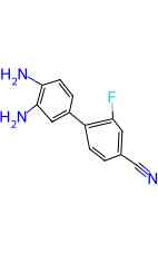 N#Cc1ccc(-c2ccc(N)c(N)c2)c(F)c1